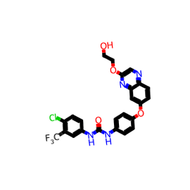 O=C(Nc1ccc(Oc2ccc3ncc(OCCO)nc3c2)cc1)Nc1ccc(Cl)c(C(F)(F)F)c1